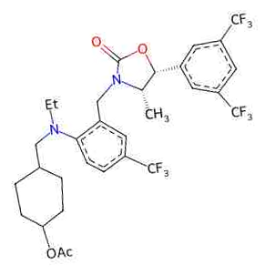 CCN(CC1CCC(OC(C)=O)CC1)c1ccc(C(F)(F)F)cc1CN1C(=O)O[C@H](c2cc(C(F)(F)F)cc(C(F)(F)F)c2)[C@@H]1C